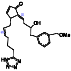 COCc1cccc(CC(O)C/C=C2/C(=O)C=CC2C/C=C\CCCc2nnn[nH]2)c1